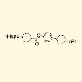 CCCCCCCC1CCC(C(=O)Oc2ccc(C3CCC(CCC)CC3)cc2)CC1